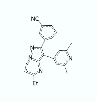 CCc1ccn2nc(-c3cccc(C#N)c3)c(-c3cc(C)nc(C)c3)c2n1